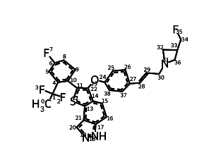 CC(F)(F)c1cc(F)ccc1-c1sc2c(ccc3[nH]ncc32)c1Oc1ccc(/C=C/CN2CC(CF)C2)cc1